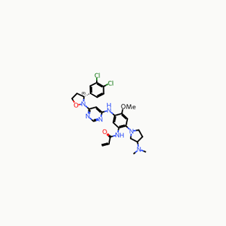 C=CC(=O)Nc1cc(Nc2cc(N3OCC[C@@H]3c3ccc(Cl)c(Cl)c3)ncn2)c(OC)cc1N1CCC(N(C)C)C1